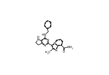 Cc1nc2c(C(N)=O)cccn2c1-c1nc2c(c(NCc3ccccc3)n1)NCC2